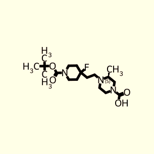 C[C@H]1CN(C(=O)O)CCN1CCC1(F)CCN(C(=O)OC(C)(C)C)CC1